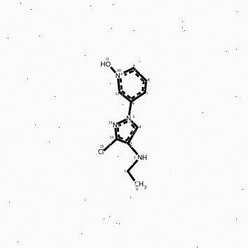 CCNc1cn(-c2ccc[n+](O)c2)nc1Cl